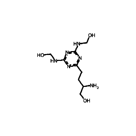 NC(CO)CCc1nc(NCO)nc(NCO)n1